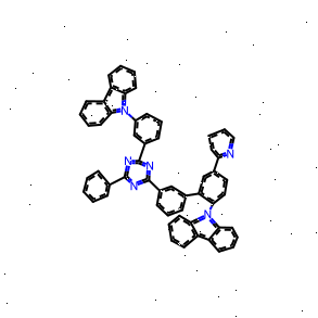 c1ccc(-c2nc(-c3cccc(-c4cc(-c5ccccn5)ccc4-n4c5ccccc5c5ccccc54)c3)nc(-c3cccc(-n4c5ccccc5c5ccccc54)c3)n2)cc1